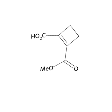 COC(=O)C1=C(C(=O)O)CC1